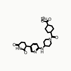 CC(C)(C)OC(=O)C1CCC(C(=O)N2CCC(Nc3ccc(C4CCC(=O)NC4=O)cn3)CC2)CC1